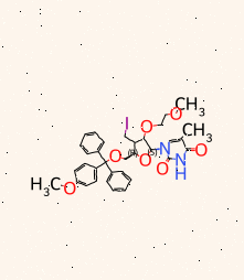 COCCOC1C(CI)[C@H](COC(c2ccccc2)(c2ccccc2)c2ccc(OC)cc2)O[C@@H]1n1cc(C)c(=O)[nH]c1=O